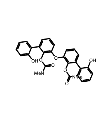 CNC(=O)Oc1c(Oc2cccc(-c3ccccc3O)c2OC(=O)NC)cccc1-c1ccccc1O